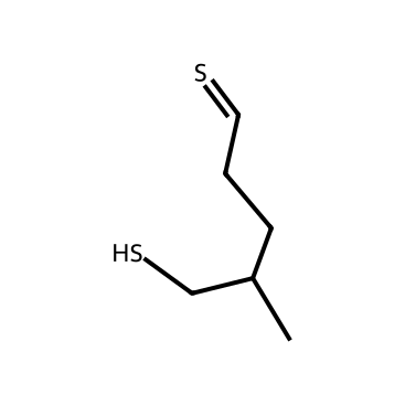 CC(CS)CCC=S